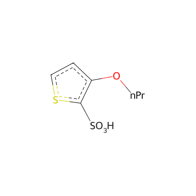 CCCOc1ccsc1S(=O)(=O)O